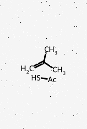 C=C(C)C.CC(=O)S